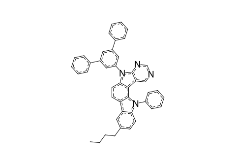 CCCCc1ccc2c(c1)c1ccc3c(c4cncnc4n3-c3cc(-c4ccccc4)cc(-c4ccccc4)c3)c1n2-c1ccccc1